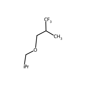 CC(C)COCC(C)C(F)(F)F